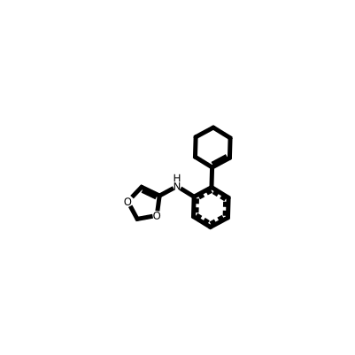 C1=C(Nc2ccccc2C2=CCCCC2)OCO1